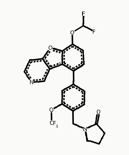 O=C1CCCN1Cc1ccc(-c2ccc(OC(F)F)c3oc4ccncc4c23)cc1OC(F)(F)F